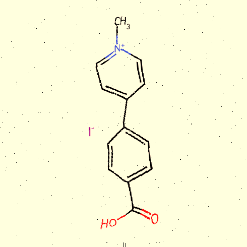 C[n+]1ccc(-c2ccc(C(=O)O)cc2)cc1.[I-]